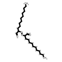 CCCCCCCCCCCC(C=O)OOC(C=O)CCCCCCCCCCC